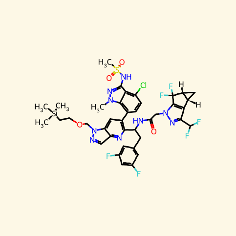 Cn1nc(NS(C)(=O)=O)c2c(Cl)ccc(-c3cc4c(cnn4COCC[Si](C)(C)C)nc3C(Cc3cc(F)cc(F)c3)NC(=O)Cn3nc(C(F)F)c4c3C(F)(F)[C@@H]3C[C@H]43)c21